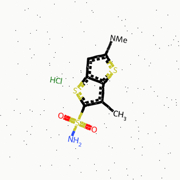 CNc1cc2sc(S(N)(=O)=O)c(C)c2s1.Cl